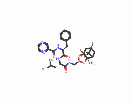 CC(C)C[C@H](NC(=O)[C@H](Cc1ccccc1)NC(=O)c1cnccn1)C(=O)NCB1O[C@@H]2C[C@@H]3CC(C3(C)C)[C@]2(C)O1